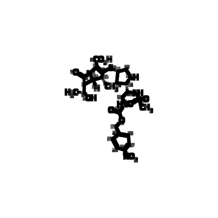 C[C@@H](O)[C@H]1C(=O)N2C(C(=O)O)=C(S[C@@H]3CN[C@H](C(CNC(=O)OCc4ccc([N+](=O)[O-])cc4)NS(C)(=O)=O)C3)[C@H](C)[C@H]12